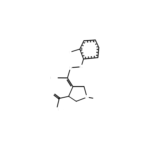 CC(NNc1ccccc1F)=C1CN(C)CC1C(=O)C=O